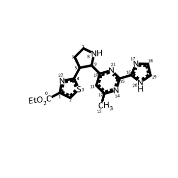 CCOC(=O)c1csc(C2CCNC2c2cc(C)nc(-c3ncc[nH]3)n2)n1